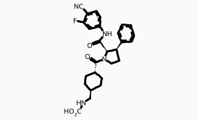 N#Cc1ccc(NC(=O)[C@H]2[C@@H](c3ccccc3)CCN2C(=O)[C@H]2CC[C@H](CNC(=O)O)CC2)cc1F